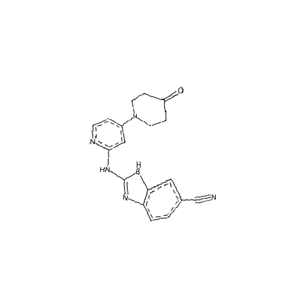 N#Cc1ccc2c(c1)BC(Nc1cc(N3CCC(=O)CC3)ccn1)=N2